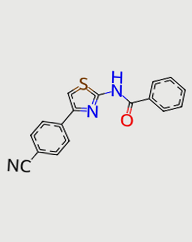 N#Cc1ccc(-c2csc(NC(=O)c3ccccc3)n2)cc1